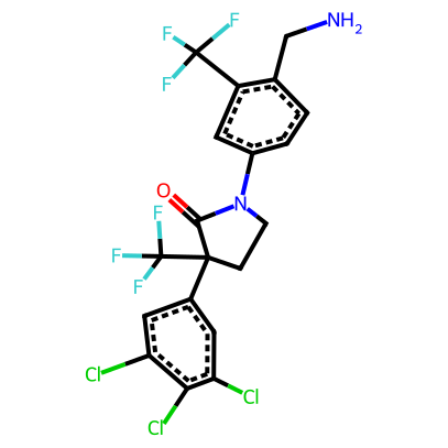 NCc1ccc(N2CCC(c3cc(Cl)c(Cl)c(Cl)c3)(C(F)(F)F)C2=O)cc1C(F)(F)F